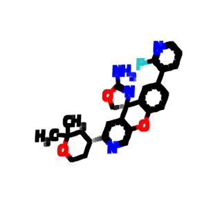 CC1(C)C[C@H](c2cc3c(cn2)Oc2ccc(-c4cccnc4F)cc2[C@@]32COC(N)=N2)CCO1